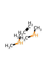 C=C.CPC.CPC